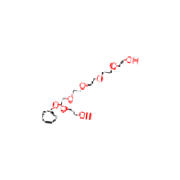 OCCOCCOCCOCCOCC(OCCO)Oc1ccccc1